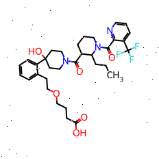 CCCC1C(C(=O)N2CCC(O)(c3ccccc3CCOCCCC(=O)O)CC2)CCCN1C(=O)c1ncccc1C(F)(F)F